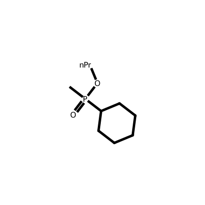 CCCOP(C)(=O)C1CCCCC1